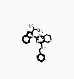 CC(C)c1cc2ccccc2n1-c1nc2c(c(NCc3ccccc3)n1)COCC2